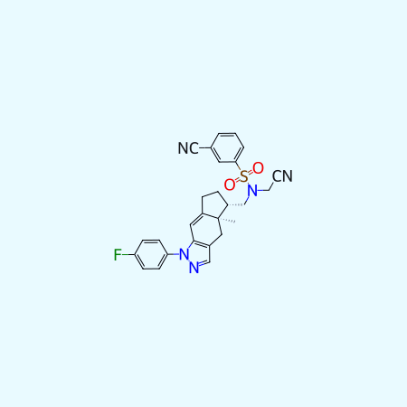 C[C@]12Cc3cnn(-c4ccc(F)cc4)c3C=C1CC[C@@H]2CN(CC#N)S(=O)(=O)c1cccc(C#N)c1